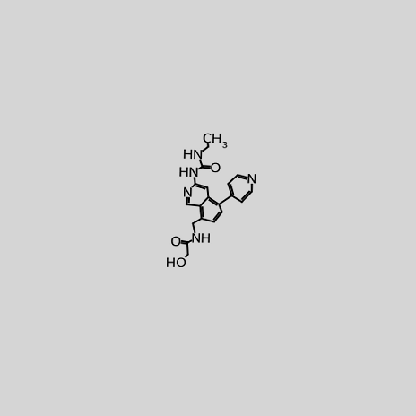 CCNC(=O)Nc1cc2c(-c3ccncc3)ccc(CNC(=O)CO)c2cn1